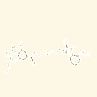 CCN(Cc1cc(C(=O)OCCCCCCNC(=O)C(C)c2ccccc2OC)cc(Br)c1N)C1CCCCC1